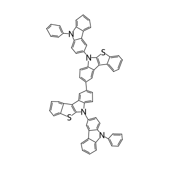 c1ccc(-n2c3ccccc3c3cc(-n4c5ccc(-c6ccc7c(c6)c6c8ccccc8sc6n7-c6ccc7c(c6)c6ccccc6n7-c6ccccc6)cc5c5c6ccccc6sc54)ccc32)cc1